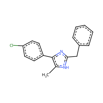 Cc1[nH]c(Cc2ccccc2)nc1-c1ccc(Cl)cc1